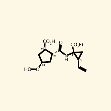 C=C[C@@H]1C[C@]1(NC(=O)[C@@H]1C[C@@H](OO)C[C@H]1C(=O)O)C(=O)OCC